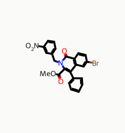 COC(=O)c1c(-c2ccccc2)c2cc(Br)ccc2c(=O)n1Cc1cccc([N+](=O)[O-])c1